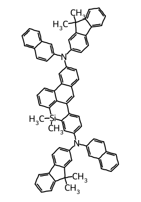 CC1(C)c2ccccc2-c2ccc(N(c3ccc4c(c3)[Si](C)(C)c3cccc5c3c-4cc3ccc(N(c4ccc6c(c4)C(C)(C)c4ccccc4-6)c4ccc6ccccc6c4)cc35)c3ccc4ccccc4c3)cc21